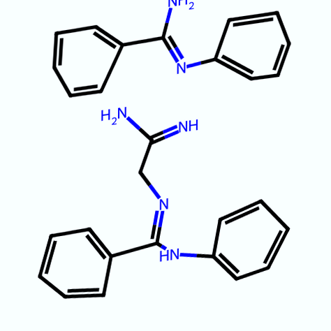 N=C(N)CN=C(Nc1ccccc1)c1ccccc1.NC(=Nc1ccccc1)c1ccccc1